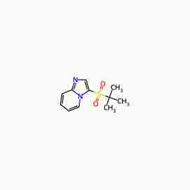 CC(C)(C)S(=O)(=O)c1cnc2ccccn12